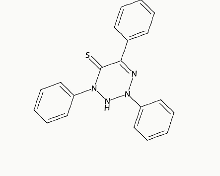 S=C1C(c2ccccc2)=NN(c2ccccc2)NN1c1ccccc1